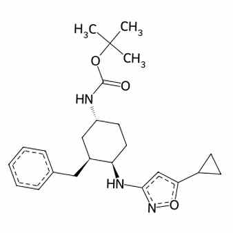 CC(C)(C)OC(=O)N[C@@H]1CC[C@@H](Nc2cc(C3CC3)on2)[C@@H](Cc2ccccc2)C1